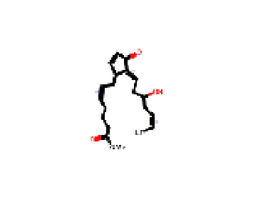 CC/C=C\CC(O)C/C=C1/C(=O)C=CC1C/C=C\CCCC(=O)OC